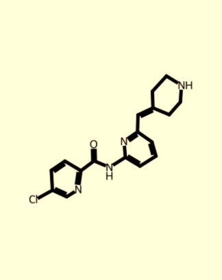 O=C(Nc1cccc(C=C2CCNCC2)n1)c1ccc(Cl)cn1